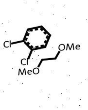 COCCOC.Clc1ccccc1Cl